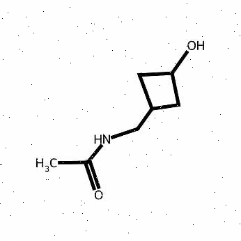 CC(=O)NCC1CC(O)C1